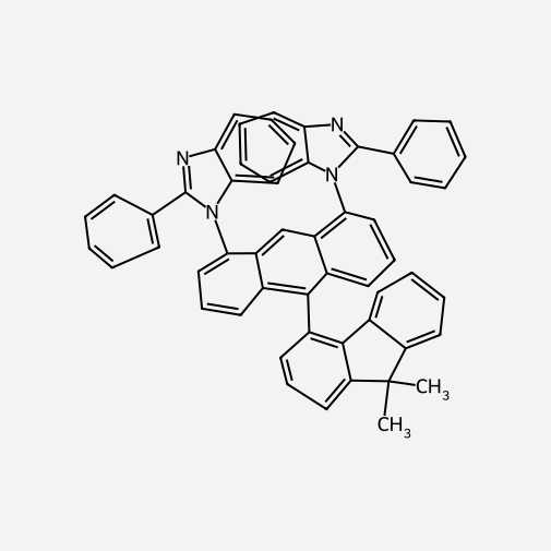 CC1(C)c2ccccc2-c2c(-c3c4cccc(-n5c(-c6ccccc6)nc6ccccc65)c4cc4c(-n5c(-c6ccccc6)nc6ccccc65)cccc34)cccc21